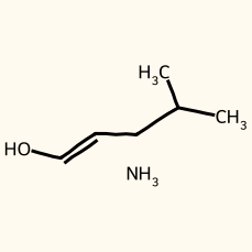 CC(C)CC=CO.N